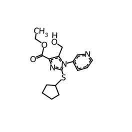 CCOC(=O)c1nc(SC2CCCC2)n(-c2cccnc2)c1CO